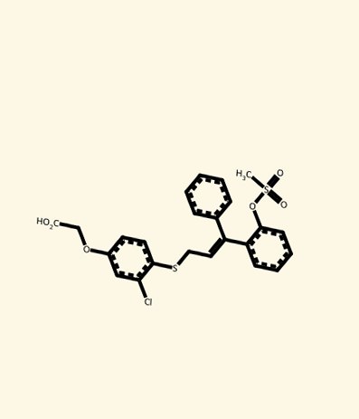 CS(=O)(=O)Oc1ccccc1C(=CCSc1ccc(OCC(=O)O)cc1Cl)c1ccccc1